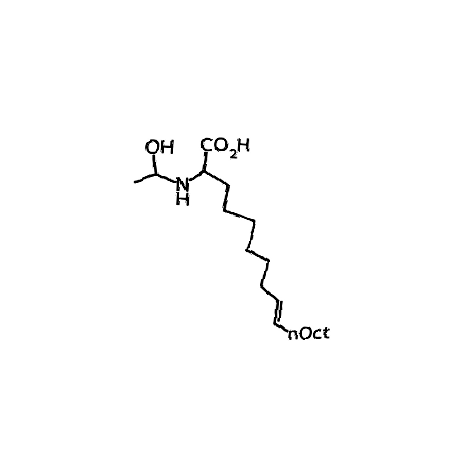 CCCCCCCCC=CCCCCCCC(NC(C)O)C(=O)O